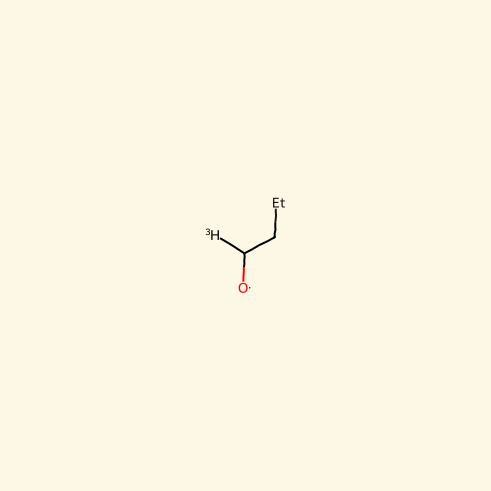 [3H]C([O])CCC